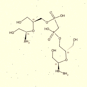 BB[C@@H](CO)O[C@@H](CO)COP(=O)(O)CP(=O)(O)OC[C@H](CO)O[C@@H](B)CO